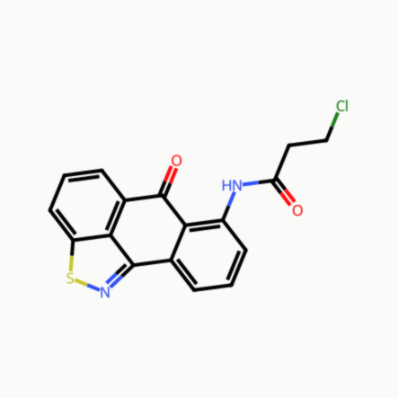 O=C(CCCl)Nc1cccc2c1C(=O)c1cccc3snc-2c13